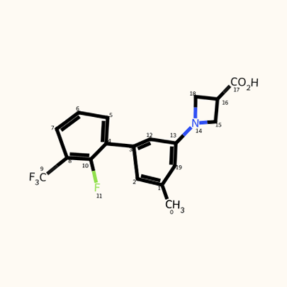 Cc1cc(-c2cccc(C(F)(F)F)c2F)cc(N2CC(C(=O)O)C2)c1